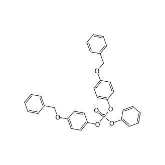 O=P(Oc1ccccc1)(Oc1ccc(OCc2ccccc2)cc1)Oc1ccc(OCc2ccccc2)cc1